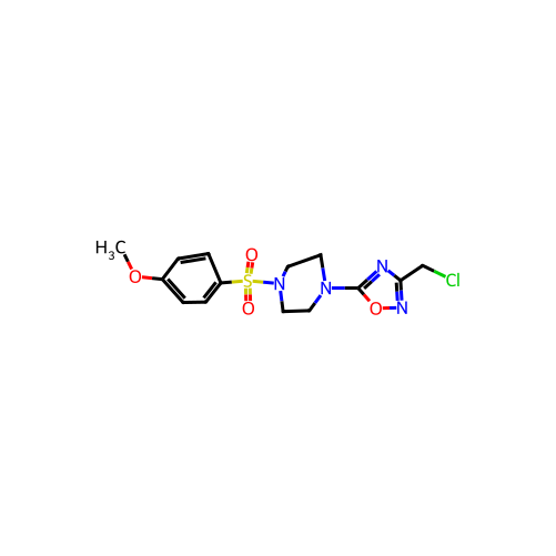 COc1ccc(S(=O)(=O)N2CCN(c3nc(CCl)no3)CC2)cc1